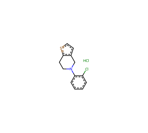 Cl.Clc1ccccc1N1CCc2sccc2C1